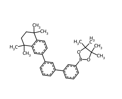 CC1(C)CCC(C)(C)c2cc(-c3cccc(-c4cccc(B5OC(C)(C)C(C)(C)O5)c4)c3)ccc21